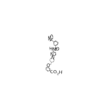 O=C(O)c1cccc(OCC2CCN(c3ccc(NC(=O)c4cccc(-c5cnco5)c4)cn3)CC2)c1